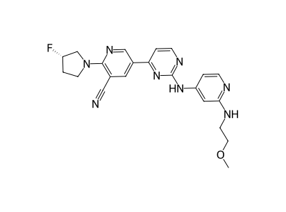 COCCNc1cc(Nc2nccc(-c3cnc(N4CC[C@H](F)C4)c(C#N)c3)n2)ccn1